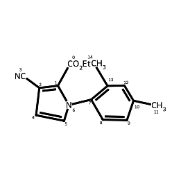 CCOC(=O)c1c(C#N)ccn1-c1ccc(C)cc1C